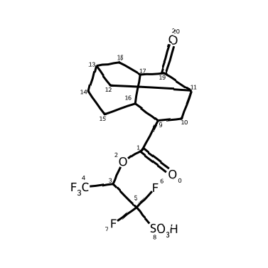 O=C(OC(C(F)(F)F)C(F)(F)S(=O)(=O)O)C1CC2CC3CCC1C(C3)C2=O